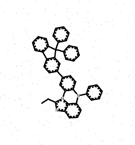 CCc1nc2cccc3c2n1-c1cc(-c2ccc4c(c2)C(c2ccccc2)(c2ccccc2)c2ccccc2-4)ccc1N3c1ccccc1